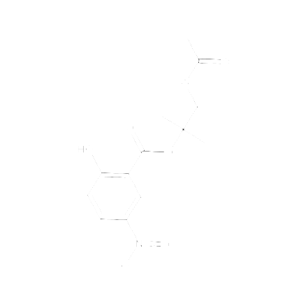 CC(=O)OCC(C)(C)OC(=O)c1cc([N+](=O)[O-])ccc1O